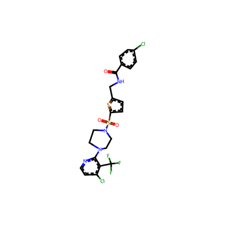 O=C(NCc1ccc(S(=O)(=O)N2CCN(c3nccc(Cl)c3C(F)(F)F)CC2)s1)c1ccc(Cl)cc1